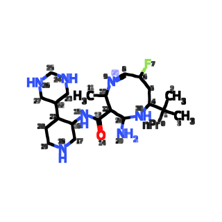 CCCC(C)(C)C1CC(F)/C=N\C(C)C(C(=O)NC2CNCCC2C2CNCNC2)C(N)N1